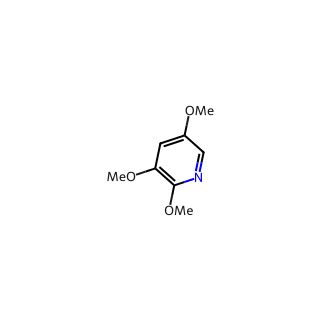 COc1cnc(OC)c(OC)c1